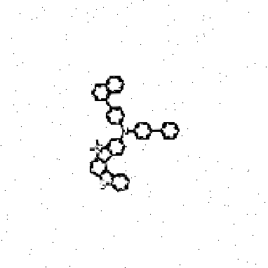 C[Si]1(C)c2cc(N(c3ccc(-c4ccccc4)cc3)c3ccc(-c4cccc5ccccc45)cc3)ccc2-c2c1ccc1sc3ccccc3c21